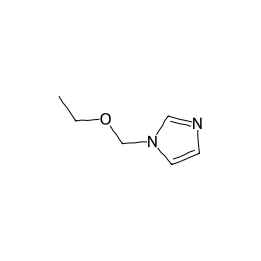 CCOCn1ccnc1